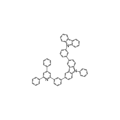 c1ccc(-c2cc(-c3ccccc3)nc(-c3cccc(-c4ccc5c(c4)c4cc(-c6cccc(-n7c8ccccc8c8ccccc87)c6)ccc4n5-c4ccccc4)c3)c2)cc1